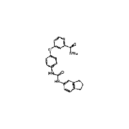 CNC(=O)c1cc(Oc2ccc(NC(=O)Nc3ccc4c(c3)CCC4)cc2)ccn1